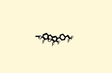 CCOc1ccc2c(c1F)Oc1c(cc(C3CCC(C=C(F)F)CC3)c(F)c1F)C2